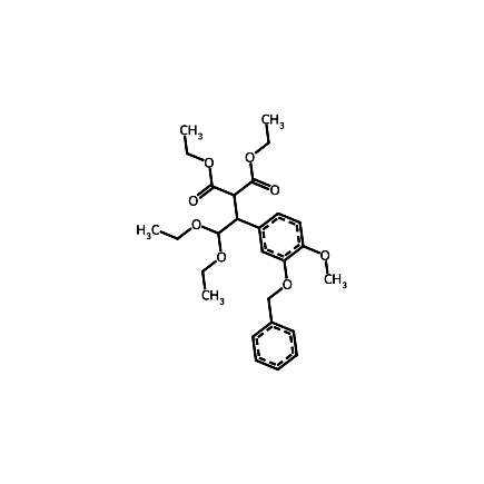 CCOC(=O)C(C(=O)OCC)C(c1ccc(OC)c(OCc2ccccc2)c1)C(OCC)OCC